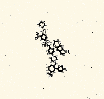 O=C(NS(=O)(=O)c1ccc(NC[C@H]2COCCO2)c([N+](=O)[O-])c1)c1ccc(N2CCN(CC3=C(c4ccc(Cl)cc4)C[C@@H](C(F)(F)F)CCC3)CC2)cc1N1CCCOc2nc3[nH]ccc3cc21